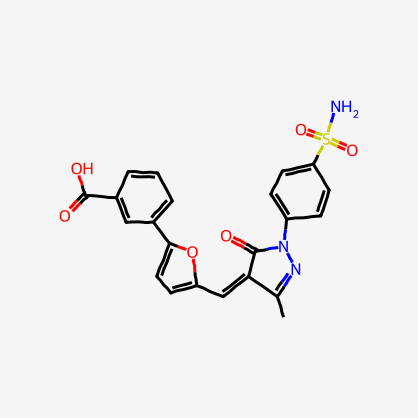 CC1=NN(c2ccc(S(N)(=O)=O)cc2)C(=O)/C1=C\c1ccc(-c2cccc(C(=O)O)c2)o1